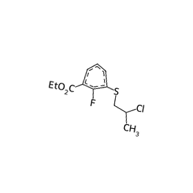 CCOC(=O)c1cccc(SCC(C)Cl)c1F